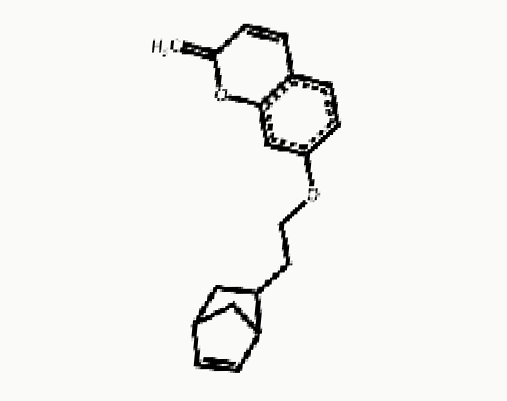 C=C1C=Cc2ccc(OCCC3CC4C=CC3C4)cc2O1